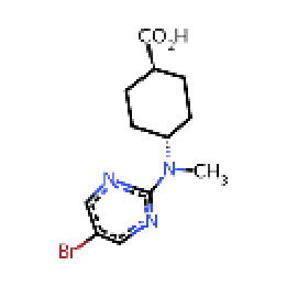 CN(c1ncc(Br)cn1)[C@H]1CC[C@H](C(=O)O)CC1